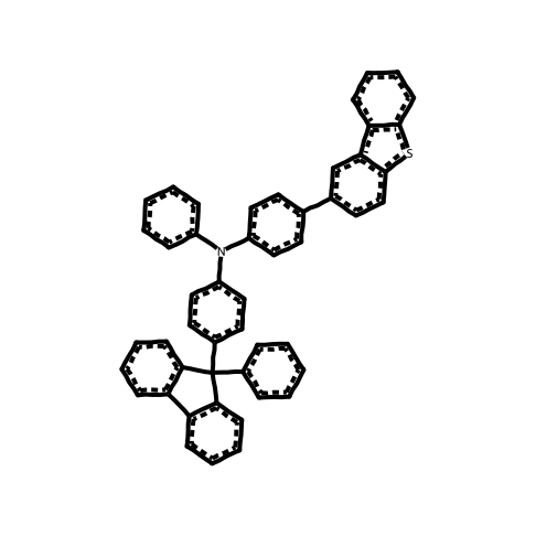 c1ccc(N(c2ccc(-c3ccc4sc5ccccc5c4c3)cc2)c2ccc(C3(c4ccccc4)c4ccccc4-c4ccccc43)cc2)cc1